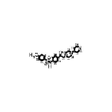 Cc1ccc(S(=O)(=O)Nc2ccc(C(=O)CN3CCN(c4ccncc4)CC3)cc2)cc1